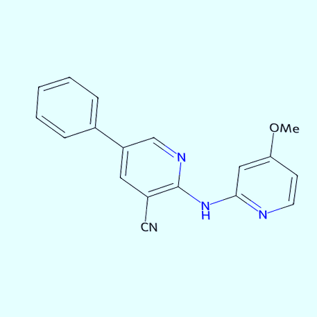 COc1ccnc(Nc2ncc(-c3ccccc3)cc2C#N)c1